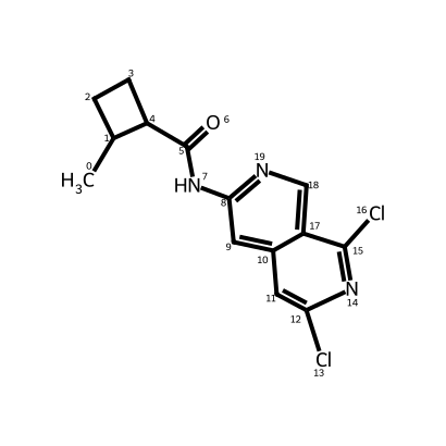 CC1CCC1C(=O)Nc1cc2cc(Cl)nc(Cl)c2cn1